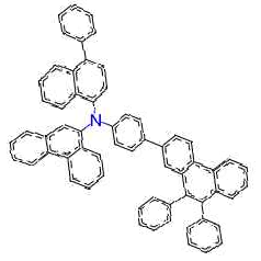 c1ccc(-c2ccc(N(c3ccc(-c4ccc5c(c4)c(-c4ccccc4)c(-c4ccccc4)c4ccccc45)cc3)c3cc4ccccc4c4ccccc34)c3ccccc23)cc1